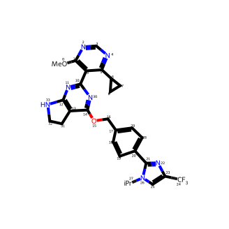 COc1ncnc(C2CC2)c1-c1nc2c(c(OCc3ccc(-c4nc(C(F)(F)F)cn4C(C)C)cc3)n1)CCN2